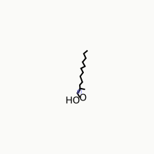 CCCCCCCCCC/C(C)=C/C(=O)O